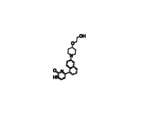 O=c1nc(-c2cccc3cc(N4CCC(OCCO)CC4)ccc23)cc[nH]1